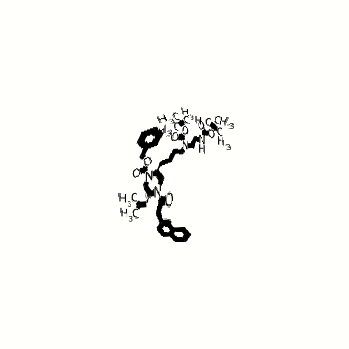 CC(C)C[C@@H]1CN(C(=O)OCc2ccccc2)[C@@H](CCCCN(CCNC(=O)OC(C)(C)C)C(=O)OC(C)(C)C)CN1C(=O)Cc1ccc2ccccc2c1